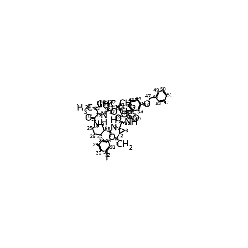 C=C[C@@H]1C[C@]1(NC(=O)[C@@H]1CN(C(=O)[C@@H](NC(=O)OC(C)(C)C)C(C)C)CC[C@H]1c1ccc(F)cc1)C(=O)NS(=O)(=O)c1cccc(OCc2ccccc2)c1